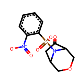 O=C1CC2COCC1N2S(=O)(=O)c1ccccc1[N+](=O)[O-]